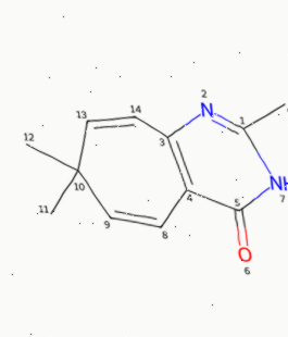 Cc1nc2c(c(=O)[nH]1)C=CC(C)(C)C=C2